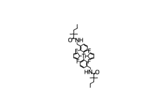 CCCC(C)(C)C(=O)NCc1ccc(F)[c]([Ti]([c]2c(F)ccc(CNC(=O)C(C)(C)CCC)c2F)([CH]2C=CC=C2)[CH]2C=CC=C2)c1F